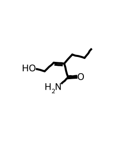 CCCC(=CCO)C(N)=O